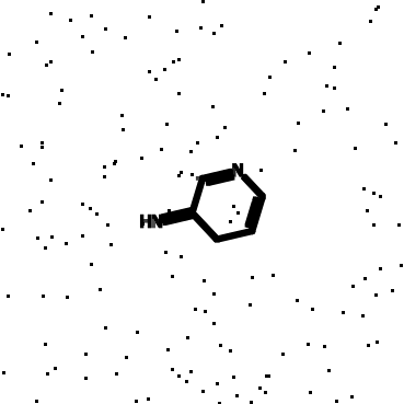 N=C1[C]=NC=CC1